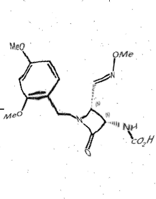 CON=C[C@@H]1[C@H](NC(=O)O)C(=O)N1Cc1ccc(OC)cc1OC